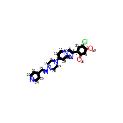 COc1cc(OC)c(-c2cn3ccc(N4CCN(N=Cc5ccncc5)CC4)cc3n2)cc1Cl